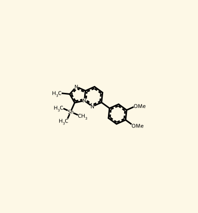 COc1ccc(-c2ccc3nc(C)[c]([Sn]([CH3])([CH3])[CH3])n3n2)cc1OC